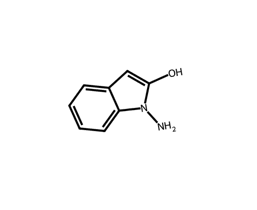 Nn1c(O)cc2ccccc21